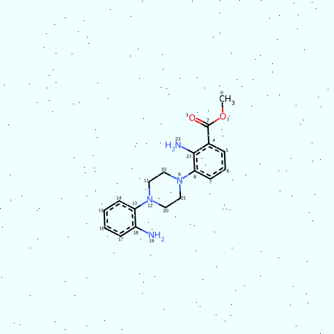 COC(=O)c1cccc(N2CCN(c3ccccc3N)CC2)c1N